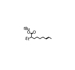 CC=CCCCCC(CC)C(=O)OC(C)(C)C